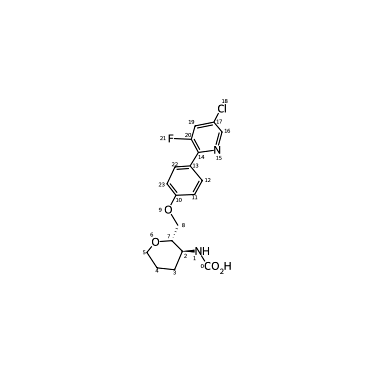 O=C(O)N[C@H]1CCCO[C@@H]1COc1ccc(-c2ncc(Cl)cc2F)cc1